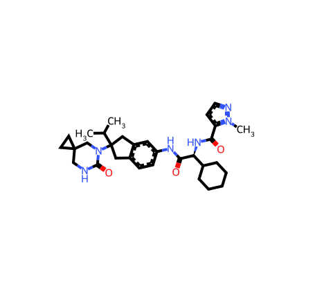 CC(C)C1(N2CC3(CC3)CNC2=O)Cc2ccc(NC(=O)[C@@H](NC(=O)c3ccnn3C)C3CCCCC3)cc2C1